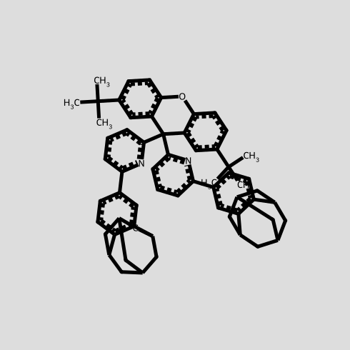 CC(C)(C)c1ccc2c(c1)C(c1cccc(-c3ccc4c(c3)C3CC5CC(CC4C5)C3)n1)(c1cccc(-c3ccc4c(c3)C3CC5CC(CC4C5)C3)n1)c1cc(C(C)(C)C)ccc1O2